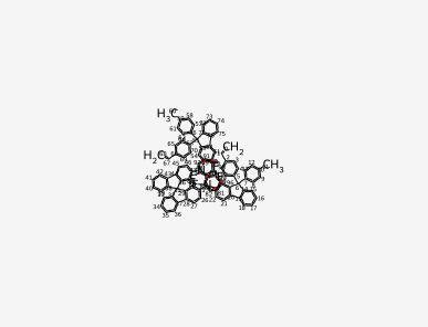 C=Cc1ccc(C2(c3ccc(C)cc3)c3ccccc3-c3ccc(N(c4ccc5c(c4)C4(c6ccccc6-5)c5ccccc5-c5ccc(N(c6ccc7c(c6)C(c6ccc(C)cc6)(c6ccc(C=C)cc6)c6ccccc6-7)c6c(F)cccc6F)cc54)c4c(F)cccc4F)cc32)cc1